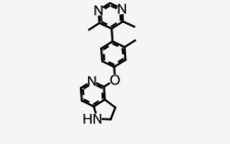 Cc1cc(Oc2nccc3c2CCN3)ccc1-c1c(C)ncnc1C